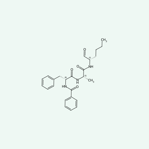 CCCC[C@@H](C=O)NC(=O)[C@H](C)NC(=O)[C@@H](Cc1ccccc1)NC(=O)c1ccccc1